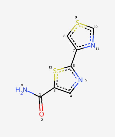 NC(=O)c1cnc(-c2cscn2)s1